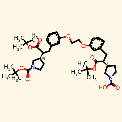 CC(C)(C)OC(=O)C(Cc1cccc(OCCOc2cccc(CC(C(=O)OC(C)(C)C)[C@H]3CCN(C(=O)OC(C)(C)C)C3)c2)c1)[C@H]1CCN(C(=O)O)C1